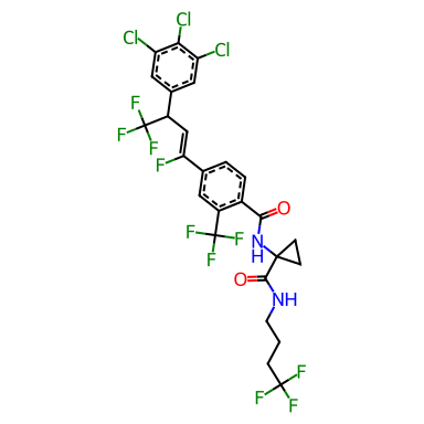 O=C(NC1(C(=O)NCCCC(F)(F)F)CC1)c1ccc(C(F)=CC(c2cc(Cl)c(Cl)c(Cl)c2)C(F)(F)F)cc1C(F)(F)F